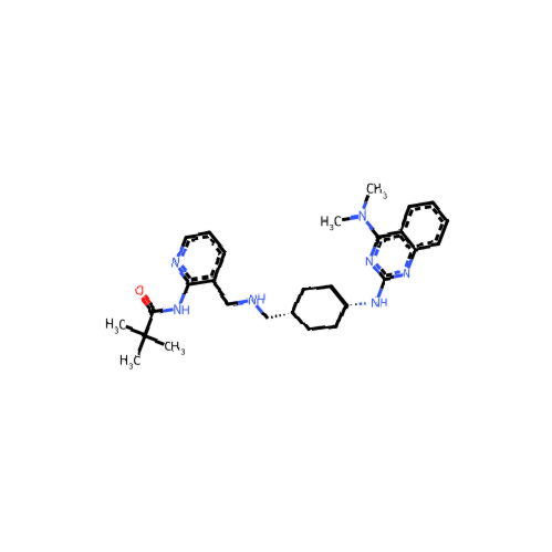 CN(C)c1nc(N[C@H]2CC[C@@H](CNCc3cccnc3NC(=O)C(C)(C)C)CC2)nc2ccccc12